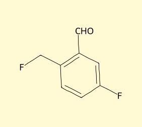 O=Cc1cc(F)ccc1CF